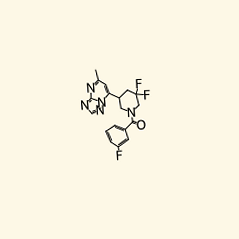 Cc1cc(C2CN(C(=O)c3cccc(F)c3)CC(F)(F)C2)n2ncnc2n1